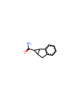 NC(=O)C1C2Cc3ccccc3C21